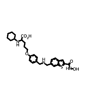 O=C(NO)c1cc2ccc(CNCc3ccc(OCCCC(NC4CCCCC4)C(=O)O)cc3)cc2s1